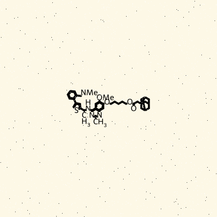 CNCc1ccccc1-c1csc([C@H](C)Nc2nc(C)nc3cc(OCCCCCOC(=O)CC45CC6CC(CC(C6)C4)C5)c(OC)cc23)c1